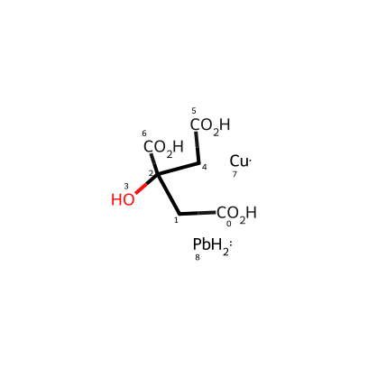 O=C(O)CC(O)(CC(=O)O)C(=O)O.[Cu].[PbH2]